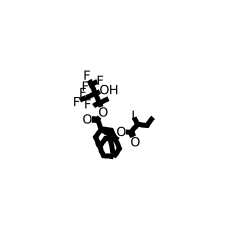 CCC(I)C(=O)OC12CC3CC(C1)CC(C(=O)OC(C)(C)C(O)(C(F)(F)F)C(F)(F)F)(C3)C2